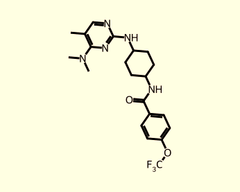 Cc1cnc(NC2CCC(NC(=O)c3ccc(OC(F)(F)F)cc3)CC2)nc1N(C)C